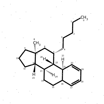 CCCCC[C@H]1C[C@]2(C)CCC[C@H]2[C@@H]2CCC3C=CC=C[C@@H]3[C@@H]12